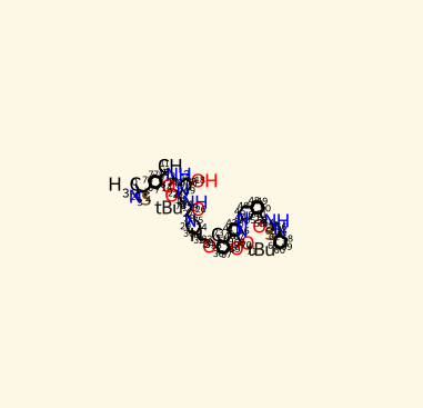 Cc1ncsc1-c1ccc([C@H](C)NC(=O)[C@@H]2C[C@@H](O)CN2C(=O)[C@@H](NC(=O)CN2CCC(CCOc3cccc(-c4ccc(N5CCc6cccc(C(=O)Nc7nc8ccccc8s7)c6C5)nc4C(=O)OC(C)(C)C)c3C)CC2)C(C)(C)C)cc1